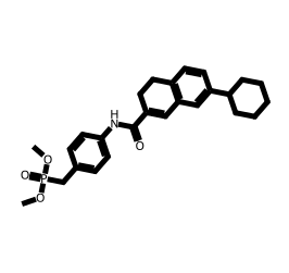 COP(=O)(Cc1ccc(NC(=O)C2=Cc3cc(C4CCCCC4)ccc3CC2)cc1)OC